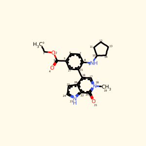 CCOC(=O)c1ccc(NC2CCCC2)c(-c2cn(C)c(=O)c3[nH]ccc23)c1